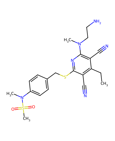 CCc1c(C#N)c(SCc2ccc(N(C)S(C)(=O)=O)cc2)nc(N(C)CCN)c1C#N